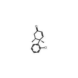 C[C@H]1CC(=O)C=C[C@]1(C)c1ccccc1Cl